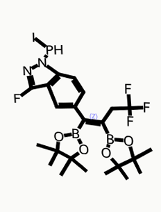 CC1(C)OB(/C(CC(F)(F)F)=C(\B2OC(C)(C)C(C)(C)O2)c2ccc3c(c2)c(F)nn3PI)OC1(C)C